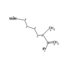 C=C(C(C)C)C(C)CCCCNC